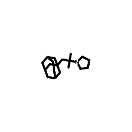 CC(C)(CC12CC3CC(CC(C3)C1)C2)N1CCCC1